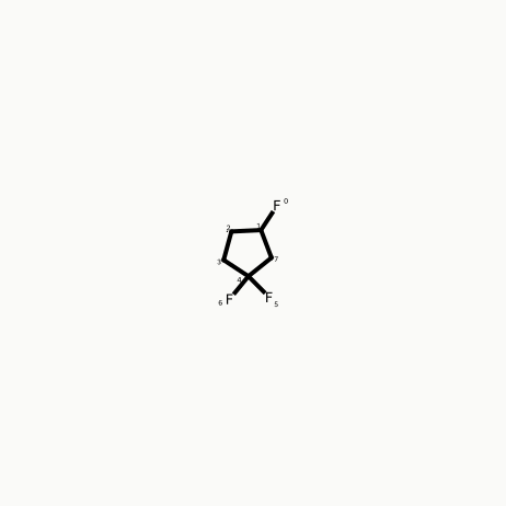 FC1[CH]CC(F)(F)C1